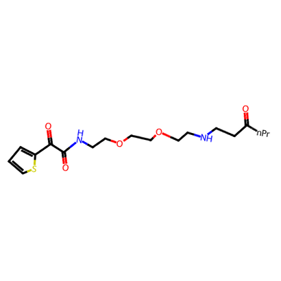 CCCC(=O)CCNCCOCCOCCNC(=O)C(=O)c1cccs1